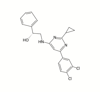 O[C@@H](CNc1cc(-c2ccc(Cl)c(Cl)c2)nc(C2CC2)n1)c1ccccc1